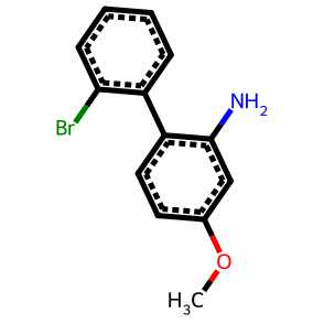 COc1ccc(-c2ccccc2Br)c(N)c1